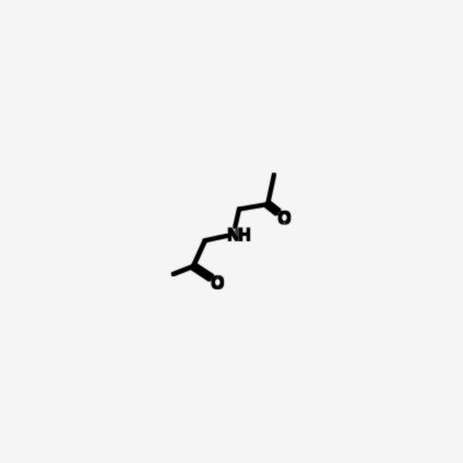 CC(=O)CNCC(C)=O